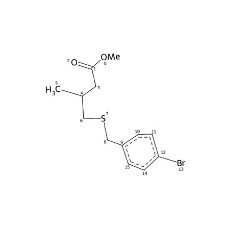 COC(=O)CC(C)CSCc1ccc(Br)cc1